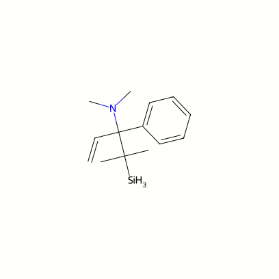 C=CC(c1ccccc1)(N(C)C)C(C)(C)[SiH3]